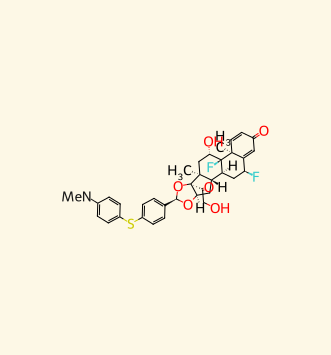 CNc1ccc(Sc2ccc([C@@H]3O[C@@H]4C[C@H]5[C@@H]6C[C@H](F)C7=CC(=O)C=C[C@]7(C)[C@@]6(F)[C@@H](O)C[C@]5(C)[C@]4(C(=O)CO)O3)cc2)cc1